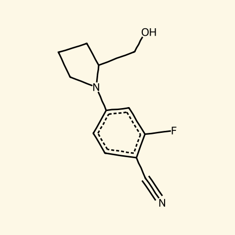 N#Cc1ccc(N2CCCC2CO)cc1F